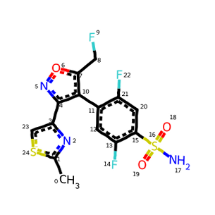 Cc1nc(-c2noc(CF)c2-c2cc(F)c(S(N)(=O)=O)cc2F)cs1